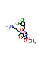 COC(=O)N1CCN(C(=O)Cc2ccc(Cl)c(Cl)c2)[C@@H]2[C@@H](CCCCCN)COC[C@H]21